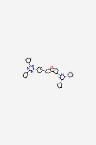 c1ccc(-c2cc(-c3ccccc3)nc(-c3ccc4oc5cc(-c6ccc(-c7nc(-c8ccccc8)nc(-c8ccccc8)n7)cc6)ccc5c4c3)n2)cc1